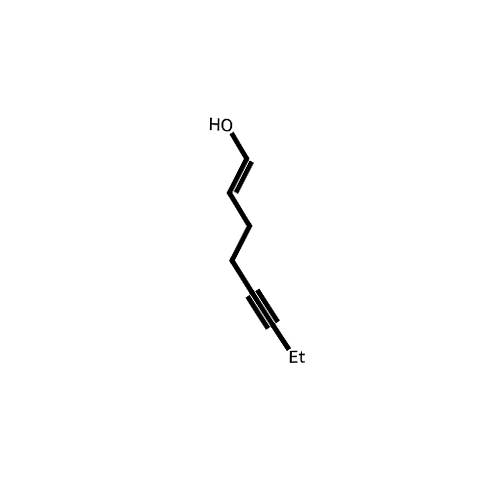 CCC#CCC/C=C/O